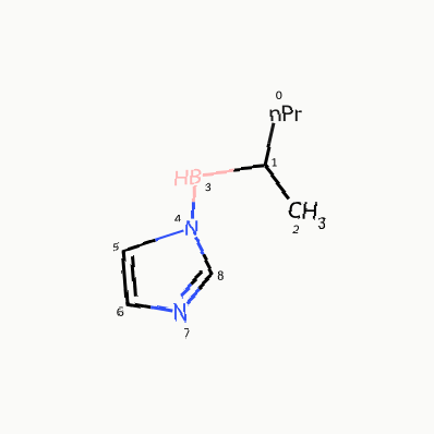 CCCC(C)Bn1ccnc1